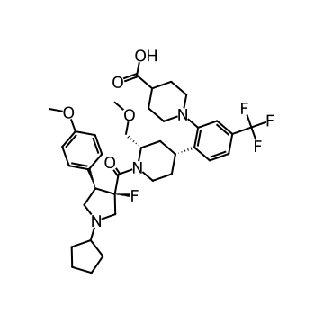 COC[C@@H]1C[C@H](c2ccc(C(F)(F)F)cc2N2CCC(C(=O)O)CC2)CCN1C(=O)[C@]1(F)CN(C2CCCC2)C[C@H]1c1ccc(OC)cc1